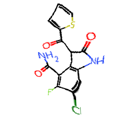 NC(=O)c1c(F)c(Cl)cc2c1C(C(=O)c1cccs1)C(=O)N2